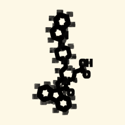 O=C(O)CCNC(=O)C1(CCCCN2CCN(c3ccc4ccccc4n3)CC2)c2ccccc2-c2ccccc21